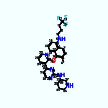 Cc1ccc2c(NCCCC(F)(F)F)cccc2c1Oc1ncccc1-c1ccnc(N[C@H]2CCCNC2)n1